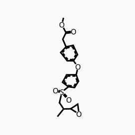 COC(=O)Cc1ccc(Oc2ccc(S(=O)(=O)CC(C)C3CO3)cc2)cc1